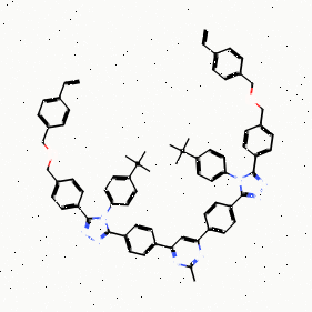 C=Cc1ccc(COCc2ccc(-c3nnc(-c4ccc(-c5cc(-c6ccc(-c7nnc(-c8ccc(COCc9ccc(C=C)cc9)cc8)n7-c7ccc(C(C)(C)C)cc7)cc6)nc(C)n5)cc4)n3-c3ccc(C(C)(C)C)cc3)cc2)cc1